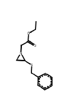 CCOC(=O)CN1CC1SCc1ccccc1